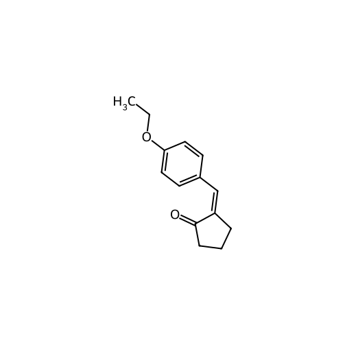 CCOc1ccc(C=C2CCCC2=O)cc1